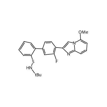 COc1cccc2nc(-c3ccc(-c4ccccc4SNC(C)(C)C)cc3F)cn12